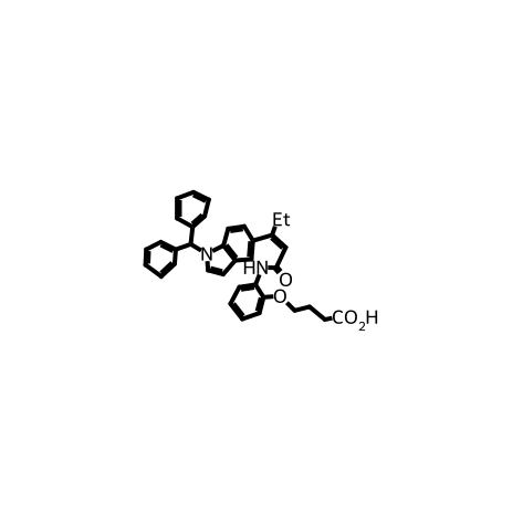 CC/C(=C/C(=O)Nc1ccccc1OCCCC(=O)O)c1ccc2c(ccn2C(c2ccccc2)c2ccccc2)c1